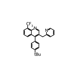 CC(C)(C)c1ccc(-c2c(Cc3ccccn3)cnc3c(C(F)(F)F)cccc23)cc1